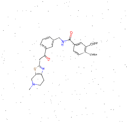 COc1ccc(C(=O)NCc2cccc(C(=O)Cc3nc4c(s3)CN(C)CC4)c2)cc1OC